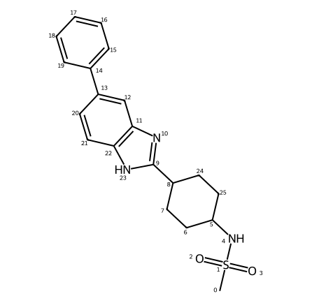 CS(=O)(=O)NC1CCC(c2nc3cc(-c4ccccc4)ccc3[nH]2)CC1